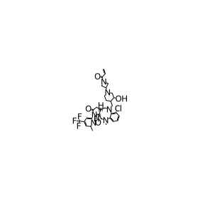 C=CC(=O)N1CC(N2CCC(CN3C[C@H]4CC(=O)N(c5cc(C(F)(F)F)cc(C)n5)[C@@H]4C(=O)N(C)c4cccc(Cl)c43)C(O)C2)C1